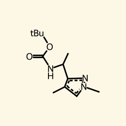 Cc1cn(C)nc1C(C)NC(=O)OC(C)(C)C